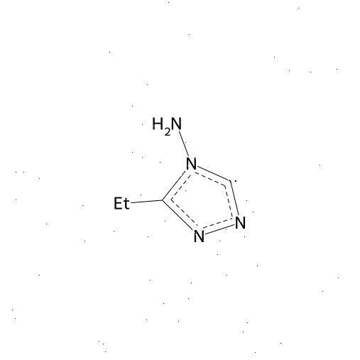 CCc1nn[c]n1N